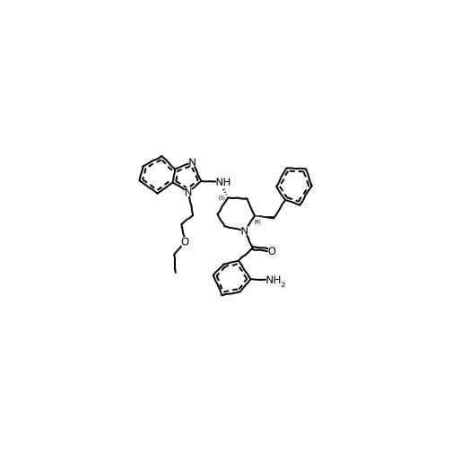 CCOCCn1c(N[C@H]2CCN(C(=O)c3ccccc3N)[C@H](Cc3ccccc3)C2)nc2ccccc21